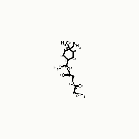 CCC(=O)OCC(=O)OC(C)C1CCC(C)(C)CC1